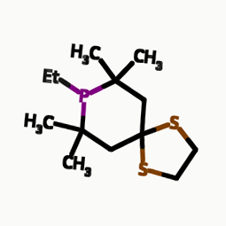 CCP1C(C)(C)CC2(CC1(C)C)SCCS2